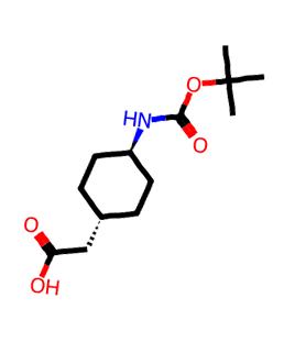 CC(C)(C)OC(=O)N[C@H]1CC[C@H](CC(=O)O)CC1